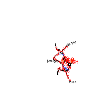 C#CCCCOCC(C)(C)OCC(C)(C)COc1c(OCCOCCOCCOCCOC)cc(C(=O)NCCOc2ccc(CP(=O)(O)O)cc2)cc1OCCOCCOCCOCC(OC)C(COCCOCCOCCOc1cc(C(=O)NCCOc2cc(CP(=O)(O)O)cc(CP(=O)(O)O)c2)cc(OCCOCCOCCOCCOC)c1OCC(C)(C)COC(C)(C)COCCCC#C)OC